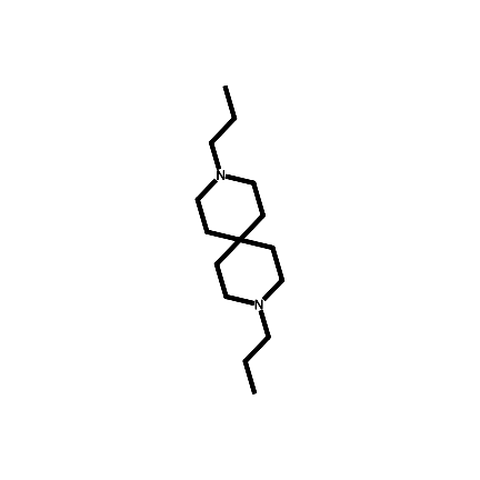 CCCN1CCC2(CC1)CCN(CCC)CC2